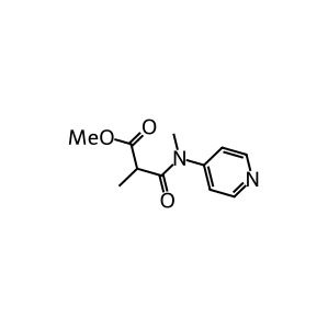 COC(=O)C(C)C(=O)N(C)c1ccncc1